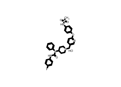 CS(=O)(=O)Nc1ccc(Oc2ccc(CN3CCC(N(C(=O)Nc4ccc(F)cc4)c4ccccc4)CC3)cn2)cc1.Cl